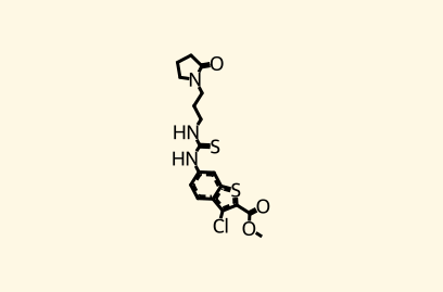 COC(=O)c1sc2cc(NC(=S)NCCCN3CCCC3=O)ccc2c1Cl